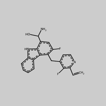 C=Cc1nccc(Cc2c(F)cc(C(N)O)c3[nH]c4ccccc4c23)c1F